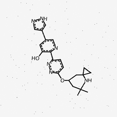 CC1(C)CC(Oc2ccc(-c3ncc(-c4cn[nH]c4)cc3O)nn2)CC2(CC2)N1